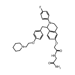 NC(=O)CNC(=O)COc1ccc2c(c1)CCN(c1ccc(F)cc1)C2Cc1ccc(OCCN2CCCCC2)cc1